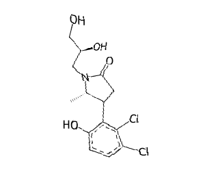 C[C@H]1C(c2c(O)ccc(Cl)c2Cl)CC(=O)N1C[C@H](O)CO